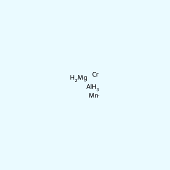 [AlH3].[Cr].[MgH2].[Mn]